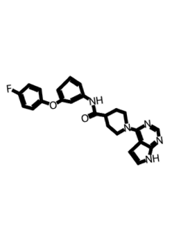 O=C(Nc1cccc(Oc2ccc(F)cc2)c1)C1CCN(c2ncnc3[nH]ccc23)CC1